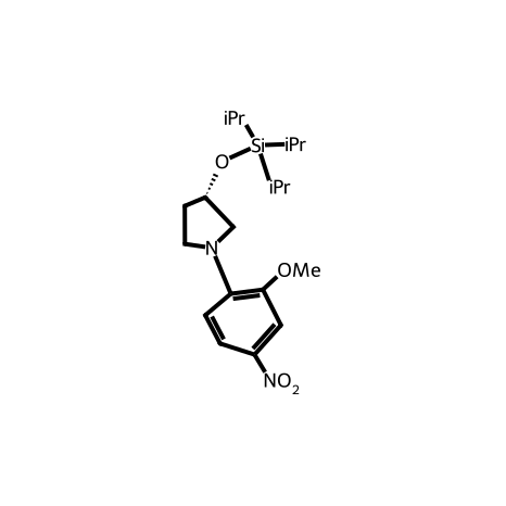 COc1cc([N+](=O)[O-])ccc1N1CC[C@H](O[Si](C(C)C)(C(C)C)C(C)C)C1